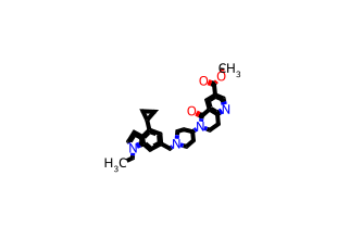 CCn1ccc2c(C3CC3)cc(CN3CCC(N4CCc5ncc(C(=O)OC)cc5C4=O)CC3)cc21